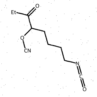 CCC(=O)C(CCCCN=C=O)OC#N